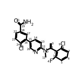 C=C(c1c(F)cccc1Cl)N(C)c1ccc(-c2cc(C(N)=O)ccc2Cl)cn1